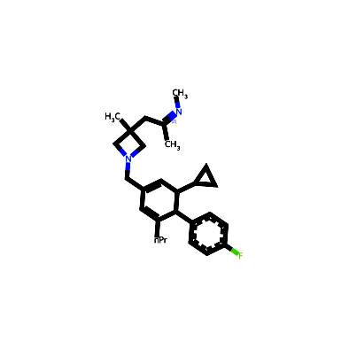 CCCC1=CC(CN2CC(C)(C/C(C)=N\C)C2)=CC(C2CC2)C1c1ccc(F)cc1